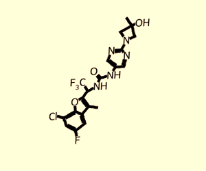 Cc1c(C(NC(=O)Nc2cnc(N3CC(C)(O)C3)nc2)C(F)(F)F)oc2c(Cl)cc(F)cc12